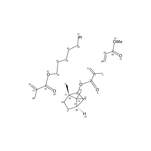 C=C(C)C(=O)OC1C[C@H]2CC[C@@]1(C)C2(C)C.C=C(C)C(=O)OCCCCCC(C)C.C=CC(=O)OC